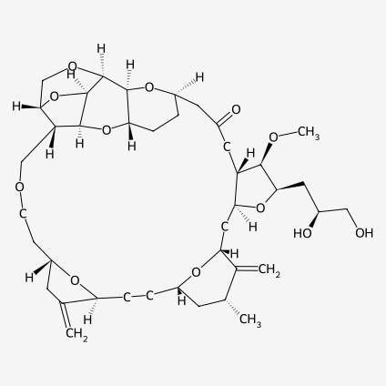 C=C1C[C@@H]2CCOC[C@H]3[C@@H]4O[C@H]5CC[C@H](CC(=O)C[C@@H]6[C@@H](OC)[C@@H](C[C@H](O)CO)O[C@H]6C[C@H]6O[C@@H](CC[C@@H]1O2)C[C@@H](C)C6=C)O[C@@H]5[C@@H]1OC[C@@H]3O[C@@H]14